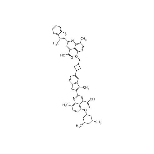 Cc1c(-c2cc(C(=O)O)c3c(OCC4CC(c5ccc6sc(-c7cc(C(=O)O)c8c(O[C@@H]9C[C@H](C)C[C@H](C)C9)ccc(C)c8n7)c(C)c6c5)C4)ccc(C)c3n2)sc2ccccc12